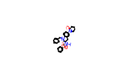 O=C1CCCCN1c1ccc2c(c1)CC(NS(=O)(=O)c1ccccc1)CN2Cc1ccccc1